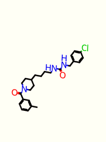 Cc1cccc(C(=O)N2CCC(CCCCNC(=O)NCc3ccc(Cl)cc3)CC2)c1